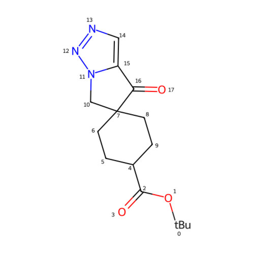 CC(C)(C)OC(=O)C1CCC2(CC1)Cn1nncc1C2=O